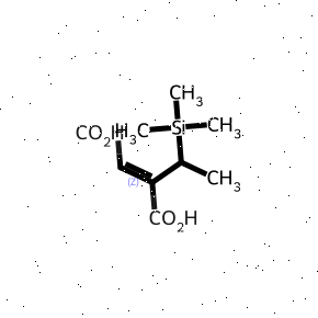 CC(/C(=C\C(=O)O)C(=O)O)[Si](C)(C)C